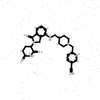 C#Cc1ccc(CN2CCC(CNc3cccc4c3CN(C3CCC(=O)NC3=O)C4=O)CC2)nc1